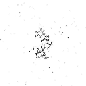 CC(C)n1cc(C(=O)c2ccc(F)c(NC(=O)Nc3cc(F)cc(F)c3)c2)c2c(N)ncnc21